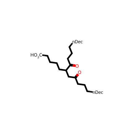 CCCCCCCCCCCCCC(=O)CC(CCCCC(=O)O)C(=O)CCCCCCCCCCCCC